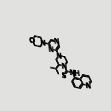 CC(C)C1CN(c2cncc(N3CCOCC3)n2)CCN1C(=S)Nc1cccc2ncccc12